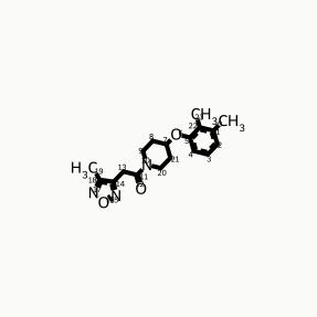 Cc1cccc(OC2CCN(C(=O)Cc3nonc3C)CC2)c1C